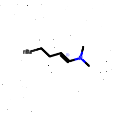 CCCCCC/C=C/N(C)C